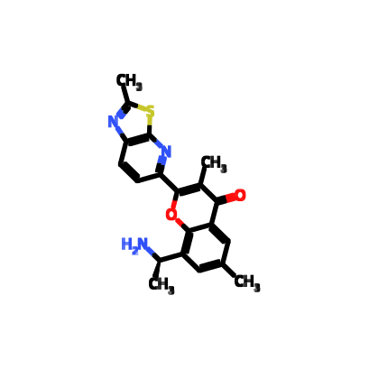 Cc1cc([C@@H](C)N)c2oc(-c3ccc4nc(C)sc4n3)c(C)c(=O)c2c1